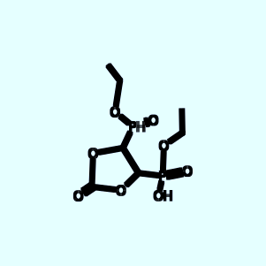 CCO[PH](=O)C1OC(=O)OC1P(=O)(O)OCC